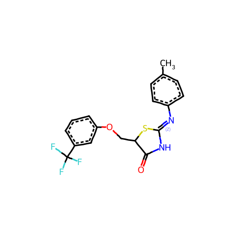 Cc1ccc(/N=C2/NC(=O)C(COc3cccc(C(F)(F)F)c3)S2)cc1